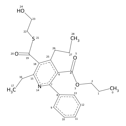 CCCOC(=O)c1c(-c2ccccc2)nc(CC)c(C(=O)SCCO)c1CCC